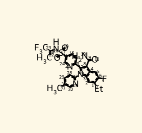 CCc1cc2c(cc1F)c(C(N)=O)c(-c1ccc(S(=O)(=O)N[C@@H](C)C(F)(F)F)cn1)n2-c1ccc(C)cn1